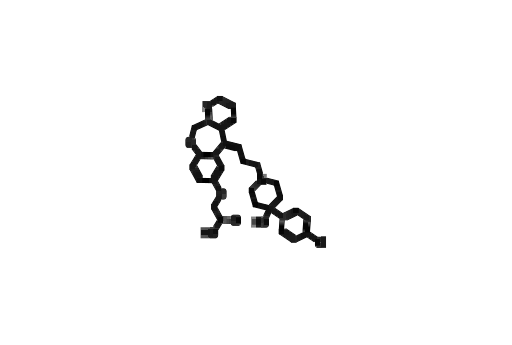 O=C(O)COc1ccc2c(c1)C(=CCCN1CCC(O)(c3ccc(Cl)cc3)CC1)c1cccnc1CO2